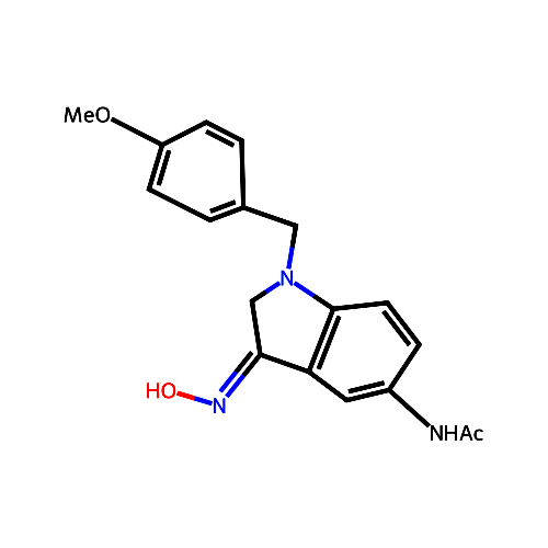 COc1ccc(CN2CC(=NO)c3cc(NC(C)=O)ccc32)cc1